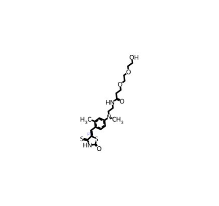 Cc1cc(N(C)CCNC(=O)CCOCCOCCO)ccc1/C=C1\SC(=O)NC1=S